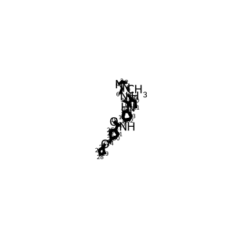 Cn1ccnc1CN1C[C@H]2CCN(c3ccc(NC(=O)c4ccc(COC5CCC5)cc4)cc3)[C@H]2C1